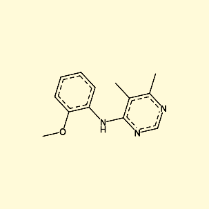 COc1ccccc1Nc1ncnc(C)c1C